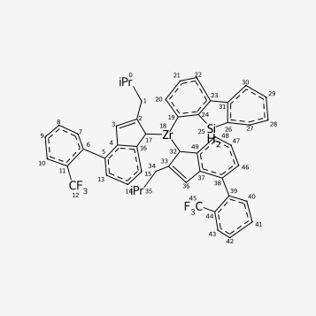 CC(C)CC1=Cc2c(-c3ccccc3C(F)(F)F)cccc2[CH]1[Zr]([c]1cccc2c1[SiH2]c1ccccc1-2)[CH]1C(CC(C)C)=Cc2c(-c3ccccc3C(F)(F)F)cccc21